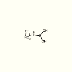 O=[N+]([O-])[O-].OB(O)O.[Li+]